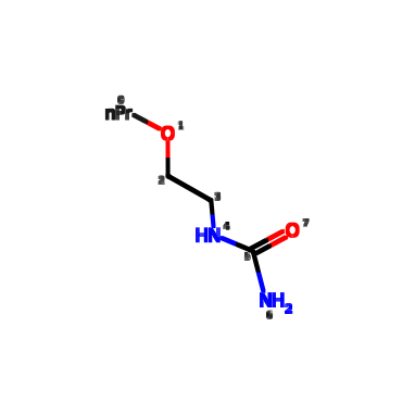 CCCOCCNC(N)=O